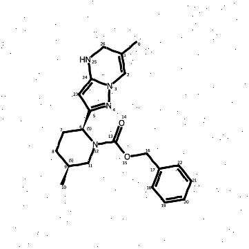 CC1=Cn2nc([C@@H]3CC[C@H](C)CN3C(=O)OCc3ccccc3)cc2NC1